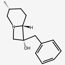 C[C@@H]1CC[C@H]2N(C1)C[C@]2(O)Cc1ccccc1